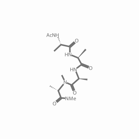 CNC(=O)[C@H](C)N(C)C(=O)[C@H](C)NC(=O)[C@H](C)NC(=O)[C@H](C)NC(C)=O